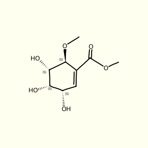 COC(=O)C1=C[C@H](O)[C@H](O)[C@H](O)[C@H]1OC